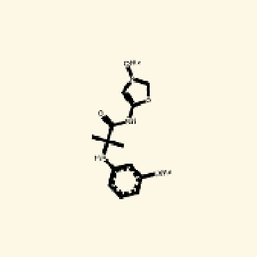 COc1cccc(NC(C)(C)C(=O)NC2=CN(OC)CO2)c1